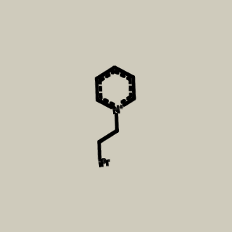 CC(C)CC[n+]1ccccc1